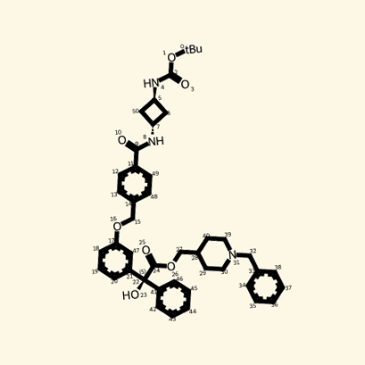 CC(C)(C)OC(=O)N[C@H]1C[C@H](NC(=O)c2ccc(COc3cccc([C@](O)(C(=O)OCC4CCN(Cc5ccccc5)CC4)c4ccccc4)c3)cc2)C1